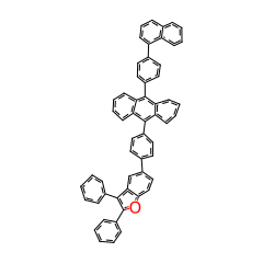 c1ccc(-c2oc3ccc(-c4ccc(-c5c6ccccc6c(-c6ccc(-c7cccc8ccccc78)cc6)c6ccccc56)cc4)cc3c2-c2ccccc2)cc1